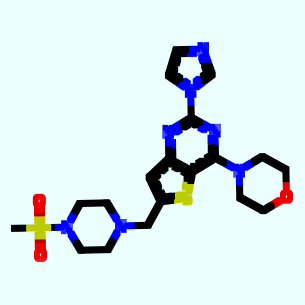 CS(=O)(=O)N1CCN(Cc2cc3nc(-n4ccnc4)nc(N4CCOCC4)c3s2)CC1